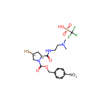 CN(C)CCNC(=O)[C@@H]1C[C@H](S)CN1C(=O)OCc1ccc([N+](=O)[O-])cc1.O=S(=O)(O)C(F)(F)F